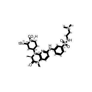 C[C@@H]1C(=O)N(C)c2ccc(Nc3cccc(S(=O)(=O)NCCN(C)C)c3)nc2N1C1CCN(C(=O)O)C(C(C)(C)C)C1